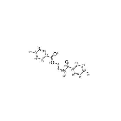 Cc1ccc(C(=O)OCCN(C)C(=O)c2ccc(C)cc2)cc1